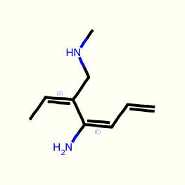 C=C/C=C(N)\C(=C/C)CNC